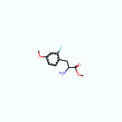 COC(=O)C(N)Cc1ccc(OC)cc1F